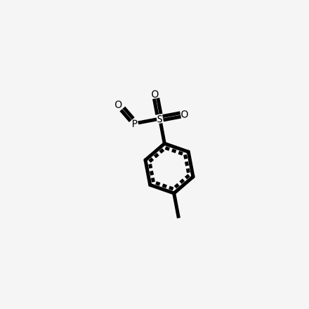 Cc1ccc(S(=O)(=O)P=O)cc1